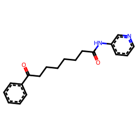 O=C(CCCCCCC(=O)c1ccccc1)Nc1cccnc1